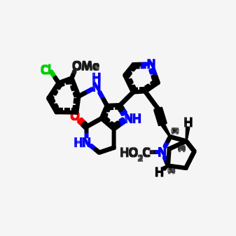 COc1c(Cl)cccc1Nc1c(-c2ccncc2C#C[C@H]2[C@@H]3CC[C@@H](C3)N2C(=O)O)[nH]c2c1C(=O)NCC2